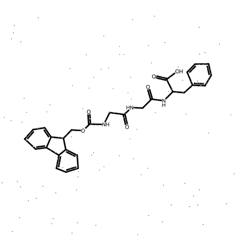 O=C(CNC(=O)OCC1c2ccccc2-c2ccccc21)NCC(=O)NC(Cc1ccccc1)C(=O)O